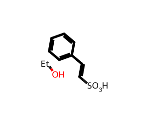 CCO.O=S(=O)(O)C=Cc1ccccc1